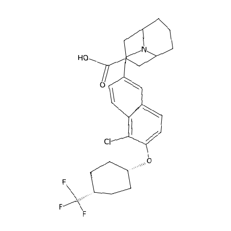 O=C(O)C1CC2CCCC(C1)N2Cc1ccc2c(Cl)c(O[C@H]3CC[C@@H](C(F)(F)F)CC3)ccc2c1